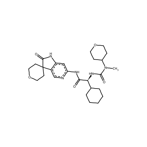 CN(C(=O)N[C@H](C(=O)Nc1cc2c(cn1)C1(CCOCC1)C(=O)N2)C1CCCCC1)C1CCOCC1